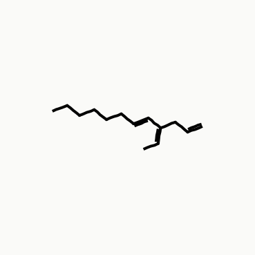 C=CCC(C=CCCCCCC)=CC